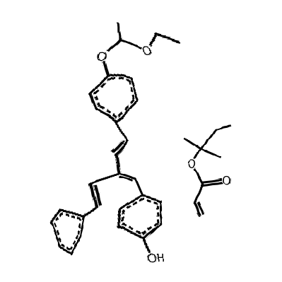 C=CC(=O)OC(C)(C)CC.CCOC(C)Oc1ccc(C=CC(C=Cc2ccccc2)=Cc2ccc(O)cc2)cc1